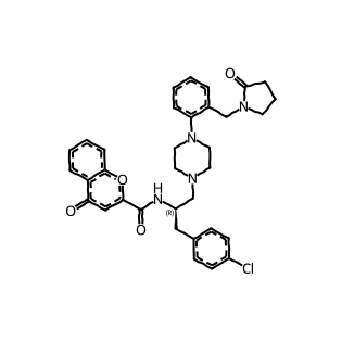 O=C(N[C@H](Cc1ccc(Cl)cc1)CN1CCN(c2ccccc2CN2CCCC2=O)CC1)c1cc(=O)c2ccccc2o1